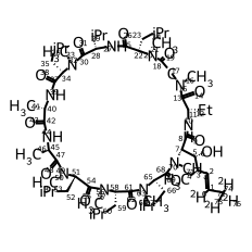 [2H]/C(=C\[C@@H](C)[C@@H](O)[C@H]1C(=O)N[C@@H](CC)C(=O)N(C)CC(=O)N(C)[C@@H](CC(C)C)C(=O)N[C@@H](C(C)C)C(=O)N(C)[C@@H](CC(C)C)C(=O)N[C@@H](C)C(=O)N[C@H](C)C(=O)N(C)[C@H](CC(C)C)C(=O)N(C)[C@@H](CC(C)C)C(=O)N(C)[C@@H](CC(C)C)C(=O)N1C)C([2H])([2H])[2H]